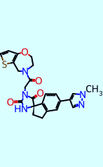 Cn1cc(-c2ccc3c(c2)CC[C@]32NC(=O)N(CC(=O)N3CCOc4ccsc4C3)C2=O)cn1